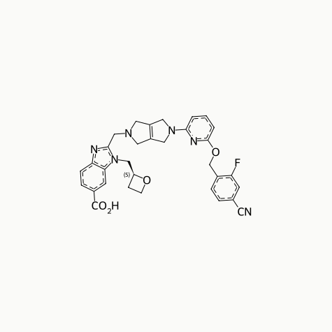 N#Cc1ccc(COc2cccc(N3CC4=C(CN(Cc5nc6ccc(C(=O)O)cc6n5C[C@@H]5CCO5)C4)C3)n2)c(F)c1